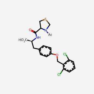 CC(=O)N1CSCC1C(=O)N[C@@H](Cc1ccc(OCc2c(Cl)cccc2Cl)cc1)C(=O)O